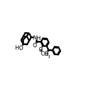 COc1c(C(=O)NC2C3CC4CC2CC(O)(C4)C3)cccc1C(=O)c1ccccc1